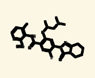 COc1nccc(C)c1NC(=O)c1cc(F)c(-n2nc3n(c2=O)CCCC3)cc1OC(C)CN(C)C